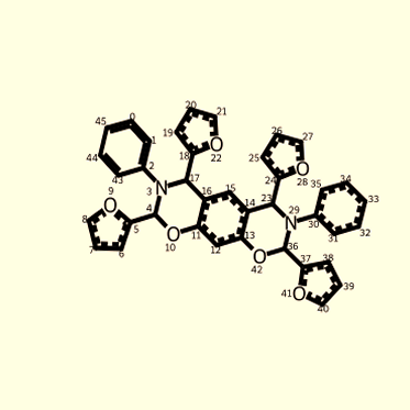 C1=C=C(N2C(c3ccco3)Oc3cc4c(cc3C2c2ccco2)C(c2ccco2)N(c2ccccc2)C(c2ccco2)O4)C=CC=1